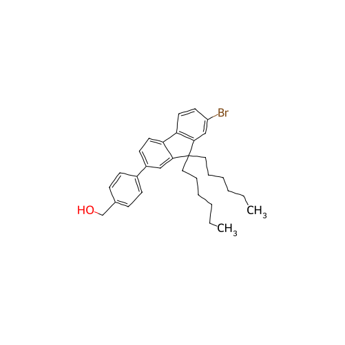 CCCCCCC1(CCCCCC)c2cc(Br)ccc2-c2ccc(-c3ccc(CO)cc3)cc21